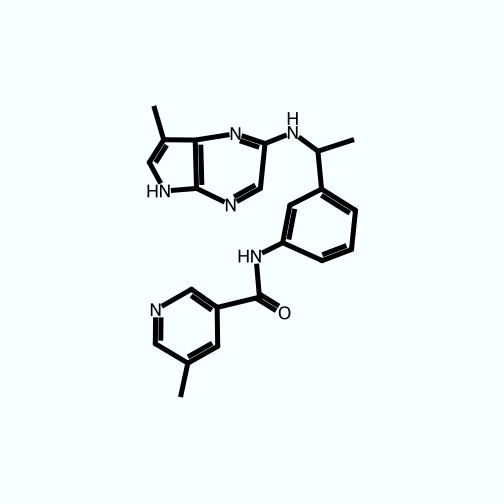 Cc1cncc(C(=O)Nc2cccc(C(C)Nc3cnc4[nH]cc(C)c4n3)c2)c1